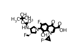 Cc1c(N2C[C@H](CF)[C@H](NC(=O)OC(C)(C)C)C2)c(F)cc2c(=O)c(C(=O)O)cn([C@@H]3C[C@@H]3F)c12